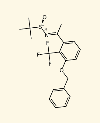 CC(=N[S@+]([O-])C(C)(C)C)c1cccc(OCc2ccccc2)c1C(F)(F)F